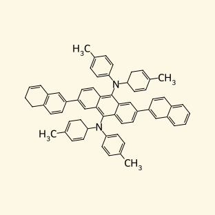 CC1=CCC(N(c2ccc(C)cc2)c2c3ccc(-c4ccc5ccccc5c4)cc3c(N(c3ccc(C)cc3)C3C=CC(C)=CC3)c3ccc(-c4ccc5c(c4)C=CCC5)cc23)C=C1